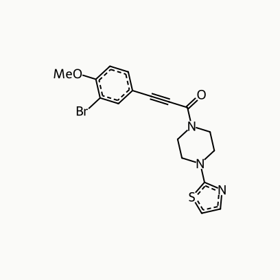 COc1ccc(C#CC(=O)N2CCN(c3nccs3)CC2)cc1Br